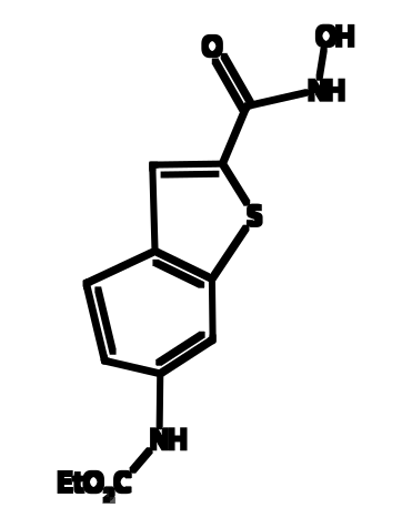 CCOC(=O)Nc1ccc2cc(C(=O)NO)sc2c1